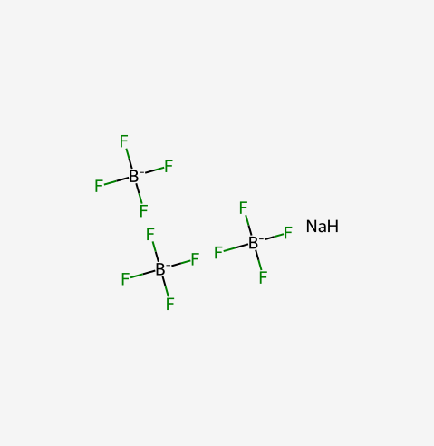 F[B-](F)(F)F.F[B-](F)(F)F.F[B-](F)(F)F.[NaH]